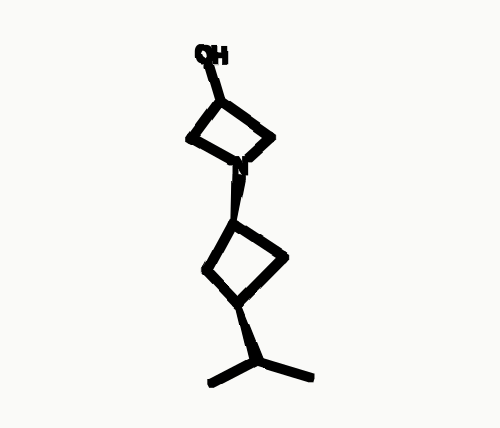 CC(C)[C@H]1C[C@@H](N2CC(O)C2)C1